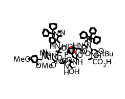 COc1ccc(Cn2nnnc2C[C@H](NC(=O)C(C)(C)C(=O)NCCc2cncn2C(c2ccccc2)(c2ccccc2)c2ccccc2)C(=O)NCC(=O)N[C@H](C(=O)NC(C)(Cc2ccccc2F)C(=O)N[C@H](C(=O)N[C@@H](COC(c2ccccc2)(c2ccccc2)c2ccccc2)C(=O)N[C@@H](CC(=O)OC(C)(C)C)C(=O)NC(C)C(=O)O)[C@@H](C)O)[C@@H](C)O)c(OC)c1